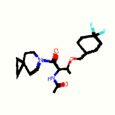 CC(=O)NC(C(=O)N1CCC2(CC1)CC2)C(C)OCC1CCC(F)(F)CC1